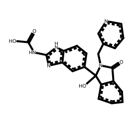 O=C(O)Nc1nc2cc(C3(O)c4ccccc4C(=O)N3Cc3cccnc3)ccc2[nH]1